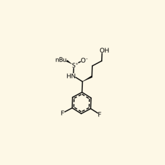 CCCC[S@@+]([O-])N[C@@H](CCCO)c1cc(F)cc(F)c1